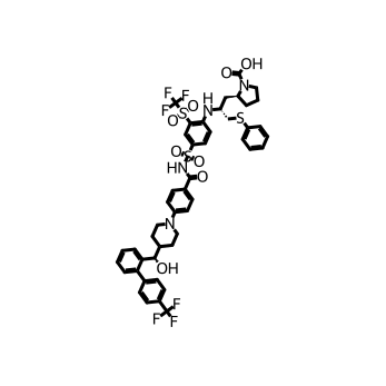 O=C(NS(=O)(=O)c1ccc(N[C@@H](CSc2ccccc2)C[C@@H]2CCCN2C(=O)O)c(S(=O)(=O)C(F)(F)F)c1)c1ccc(N2CCC([C@@H](O)c3ccccc3-c3ccc(C(F)(F)F)cc3)CC2)cc1